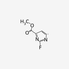 COC(=O)c1c[c]nc(F)n1